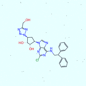 OCc1nnn([C@H]2C[C@@H](n3cnc4c(NCC(c5ccccc5)c5ccccc5)nc(Cl)nc43)[C@H](O)[C@@H]2O)n1